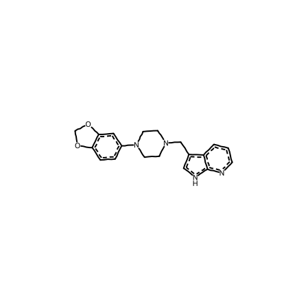 c1cnc2[nH]cc(CN3CCN(c4ccc5c(c4)OCO5)CC3)c2c1